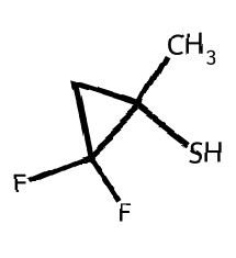 CC1(S)CC1(F)F